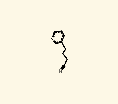 N#CCCCc1[c]nccc1